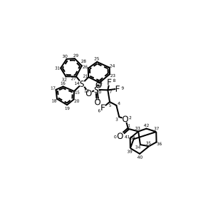 O=C(OCCC(F)C(F)(F)S(=O)(=O)OS(c1ccccc1)(c1ccccc1)c1ccccc1)C12CC3CC(CC(C3)C1)C2